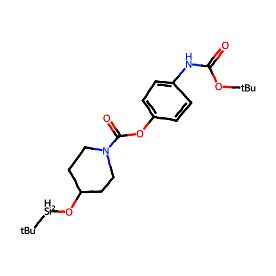 CC(C)(C)OC(=O)Nc1ccc(OC(=O)N2CCC(O[SiH2]C(C)(C)C)CC2)cc1